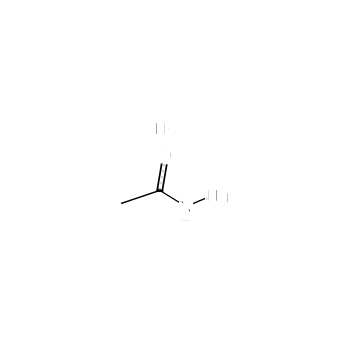 CC(=O)[NH][Hg].Cl